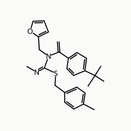 C=C(c1ccc(C(C)(C)C)cc1)N(Cc1ccco1)/C(=N\C)SCc1ccc(C)cc1